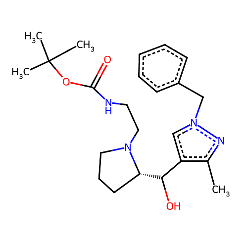 Cc1nn(Cc2ccccc2)cc1C(O)[C@@H]1CCCN1CCNC(=O)OC(C)(C)C